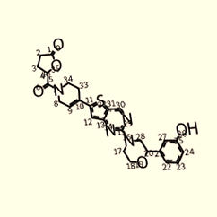 O=C1CC[C@H](C(=O)N2CC=C(c3cc4nc(N5CCOC(c6cccc(O)c6)C5)ncc4s3)CC2)O1